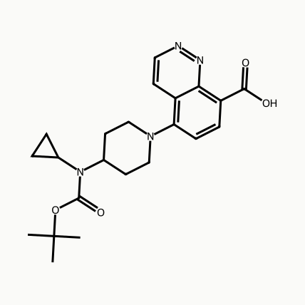 CC(C)(C)OC(=O)N(C1CC1)C1CCN(c2ccc(C(=O)O)c3nnccc23)CC1